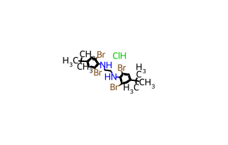 CC(C)(C)c1cc(Br)c(NCCNc2c(Br)cc(C(C)(C)C)cc2Br)c(Br)c1.Cl